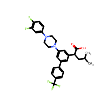 CC(C)CC(C(=O)O)c1cc(-c2ccc(C(F)(F)F)cc2)cc(N2CCN(c3ccc(F)c(F)c3)CC2)c1